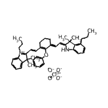 CCCc1cccc2c1C(C)(C)C(=CC=C1CCCC(C=CC3=[N+](CCC)c4ccccc4C3(C)C)=C1Oc1ccccc1)N2.[O-][Cl+3]([O-])([O-])[O-]